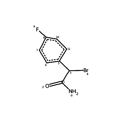 NC(=O)C(Br)c1ccc(F)cc1